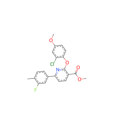 COC(=O)c1ccc(-c2ccc(C)c(F)c2)nc1Oc1ccc(OC)cc1Cl